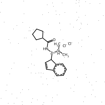 C[SiH](C)[Zr+2]([NH]C(=O)C1CCCC1)[CH]1C=Cc2ccccc21.[Cl-].[Cl-]